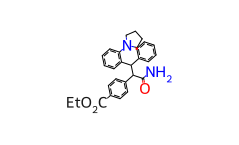 CCOC(=O)c1ccc(C(C(N)=O)C(c2ccccc2)c2ccccc2N2CCCC2)cc1